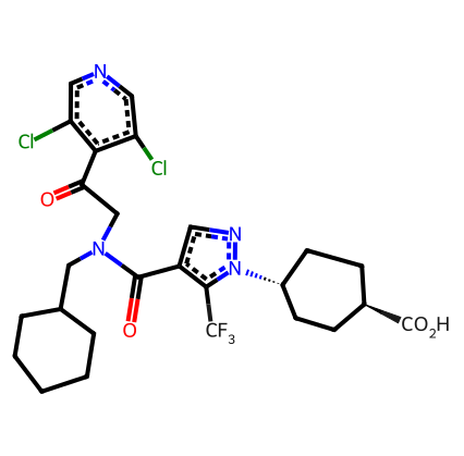 O=C(CN(CC1CCCCC1)C(=O)c1cnn([C@H]2CC[C@H](C(=O)O)CC2)c1C(F)(F)F)c1c(Cl)cncc1Cl